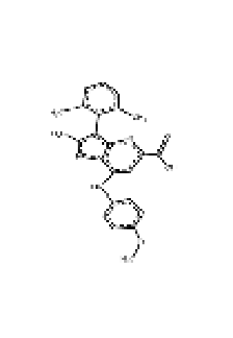 COc1ccc(Nc2cc(C(=O)O)nc3c(-c4c(C)cccc4C)c(C)nn23)cc1